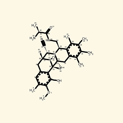 COc1c(C)cc2c(c1O)[C@H]1[C@@H]3Cc4c(C)c(C)c(C)c(C)c4[C@H](CNC(=O)[C@H](C)N)N3[C@@H](C#N)[C@@H](C2)N1C